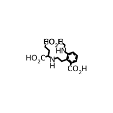 O=C(O)CCC(NCCc1c(NCC(=O)O)cccc1C(=O)O)C(=O)O